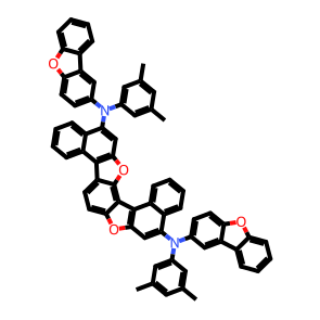 Cc1cc(C)cc(N(c2ccc3oc4ccccc4c3c2)c2cc3oc4c(ccc5oc6cc(N(c7cc(C)cc(C)c7)c7ccc8oc9ccccc9c8c7)c7ccccc7c6c54)c3c3ccccc23)c1